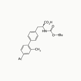 CC(=O)c1ccc(-c2ccc(C[C@H](NC(=O)OC(C)(C)C)C(=O)O)cc2)c(C)c1